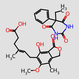 CCC1(c2ccccc2)C(=O)NC(=O)NC1=O.COc1c(C)c2c(c(O)c1C/C=C(\C)CCC(=O)O)C(=O)OC2